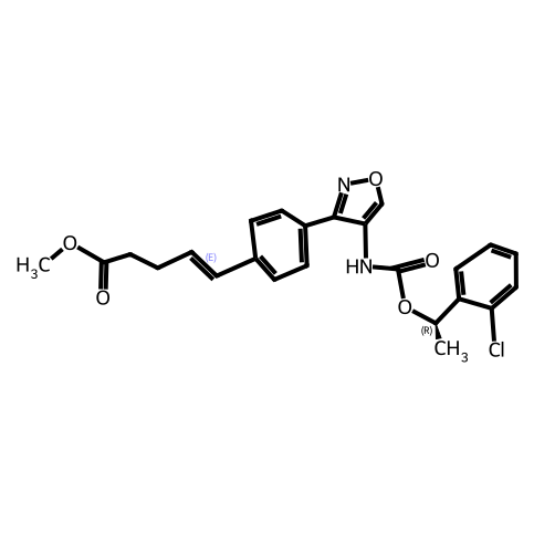 COC(=O)CC/C=C/c1ccc(-c2nocc2NC(=O)O[C@H](C)c2ccccc2Cl)cc1